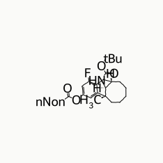 CCCCCCCCCC(=O)Oc1cc(F)c2c(c1)[C@@]1(C)CCCCC[C@@H](C2)[C@@H]1NC(=O)OC(C)(C)C